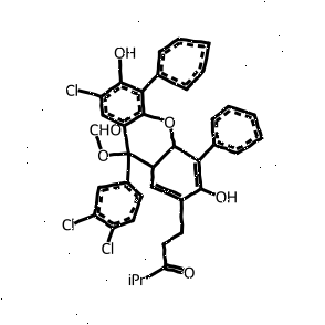 CC(C)C(=O)CCC1=CC2C(Oc3c(cc(Cl)c(O)c3-c3ccccc3)C2(OC=O)c2ccc(Cl)c(Cl)c2)C(c2ccccc2)=C1O